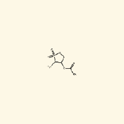 CC1C(OC(=O)C(C)(C)C)COS1(=O)=O